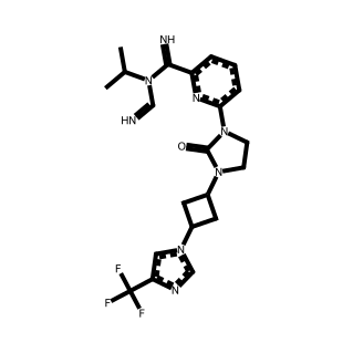 CC(C)N(C=N)C(=N)c1cccc(N2CCN(C3CC(n4cnc(C(F)(F)F)c4)C3)C2=O)n1